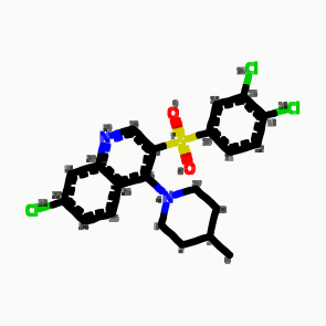 CC1CCN(c2c(S(=O)(=O)c3ccc(Cl)c(Cl)c3)cnc3cc(Cl)ccc23)CC1